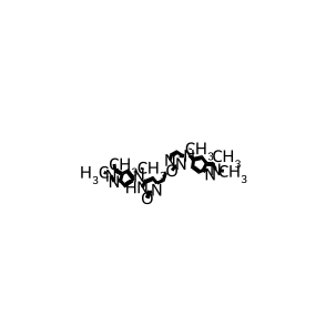 Cc1c2cc(N(C)c3ccnc(OCCc4cc(N(C)c5ccc6nn(C)c(C)c6c5)[nH]c(=O)n4)n3)ccc2nn1C